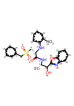 CC[C@H](NC(=O)[C@H](CS(=O)(=O)Cc1ccccc1)Nc1ccccc1[N+](=O)[O-])C(O)c1nc2ccccc2o1